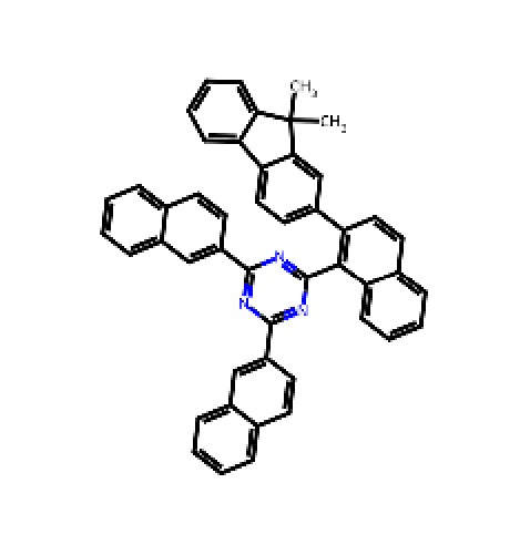 CC1(C)c2ccccc2-c2ccc(-c3ccc4ccccc4c3-c3nc(-c4ccc5ccccc5c4)nc(-c4ccc5ccccc5c4)n3)cc21